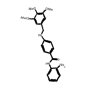 COc1cc(CNc2ccc(C(=O)Nc3ccccc3N)cc2)cc(OC)c1OC